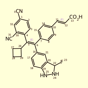 N#Cc1ccc(/C(=C(\c2ccc(/C=C/C(=O)O)cc2)c2ccc3c(c2)C(F)NN3)C2CCC2)c(C#N)c1